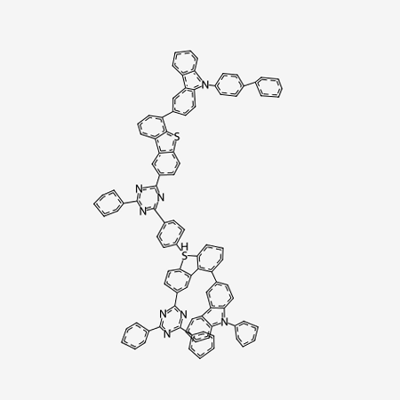 c1ccc(-c2ccc(-n3c4ccccc4c4cc(-c5cccc6c5sc5ccc(-c7nc(-c8ccccc8)nc(-c8ccc([SH]9c%10ccc(-c%11nc(-c%12ccccc%12)nc(-c%12ccccc%12)n%11)cc%10-c%10c(-c%11ccc%12c(c%11)c%11ccccc%11n%12-c%11ccccc%11)cccc%109)cc8)n7)cc56)ccc43)cc2)cc1